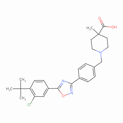 CC1(C(=O)O)CCN(Cc2ccc(-c3noc(-c4ccc(C(C)(C)C)c(Cl)c4)n3)cc2)CC1